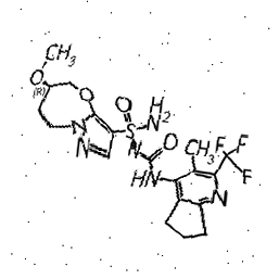 CO[C@@H]1CCn2ncc(S(N)(=O)=NC(=O)Nc3c(C)c(C(F)(F)F)nc4c3CCC4)c2OC1